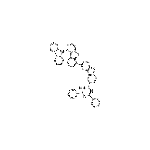 c1ccc(C2=NC(c3ccc4sc5ccc(-c6cccc7c6oc6cccc(-n8c9ccccc9c9ccccc98)c67)cc5c4c3)NC(c3ccccc3)N2)cc1